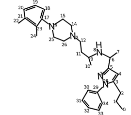 CCCc1cc(C(C)NC(C)CCN2CCN(c3cccc(C)c3C)CC2)nn1-c1ccccc1